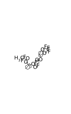 CC(F)(F)C(=O)OCC12CC3CC(C1)CC(OC(=O)C(F)(F)CC(=O)OC14CC5CC(C1)C1(OCC(F)(F)C(F)(F)CO1)C(C5)C4)(C3)C2